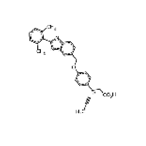 CC#C[C@@H](CC(=O)O)c1ccc(OCc2ccc3nc(-c4c(C)cccc4C)nn3c2)cc1